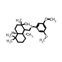 COc1cc(OC)cc(SCC2C(C)(O)CC[C@H]3C(C)(C)CCC[C@]23C)c1